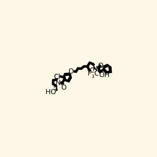 O=C(c1ccc(OCCCCC2CCN(C(=O)C(O)(c3ccccc3)C(F)(F)F)CC2)cc1Cl)N1CCC[C@@H]1CO